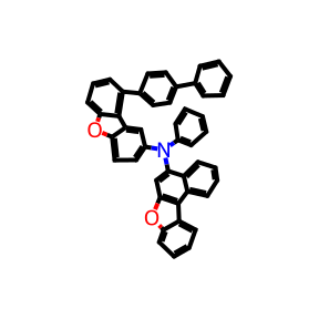 c1ccc(-c2ccc(-c3cccc4oc5ccc(N(c6ccccc6)c6cc7oc8ccccc8c7c7ccccc67)cc5c34)cc2)cc1